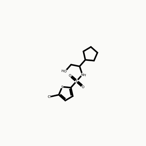 O=S(=O)(NC(CO)C1CCCC1)c1ccc(Cl)s1